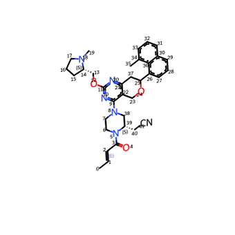 C/C=C/C(=O)N1CCN(c2nc(OC[C@@H]3CCCN3C)nc3c2COC(c2cccc4cccc(C)c24)C3)C[C@@H]1CC#N